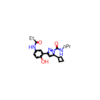 CCCNC(=O)n1nc(-c2cc(NC(=O)CC)ccc2O)cc1C1CCC1